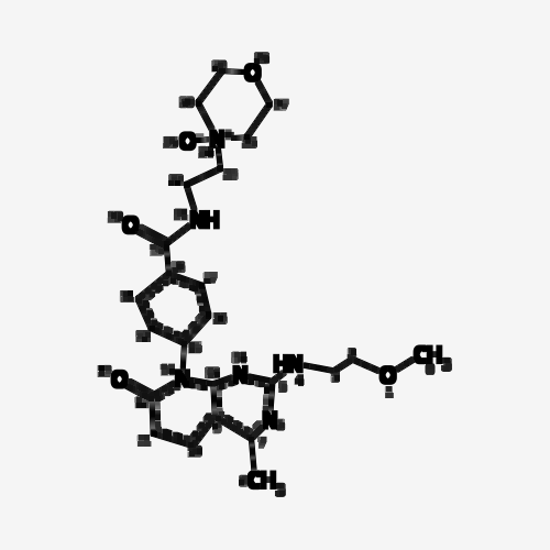 COCCNc1nc(C)c2ccc(=O)n(-c3ccc(C(=O)NCC[N+]4([O-])CCOCC4)cc3)c2n1